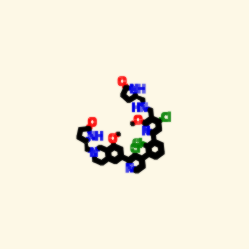 COc1cc(-c2nccc(-c3cccc(-c4cc(Cl)c(CNC[C@H]5CCC(=O)N5)c(OC)n4)c3Cl)c2Cl)cc2c1CN(C[C@H]1CCC(=O)N1)CC2